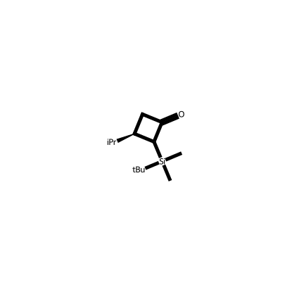 CC(C)[C@H]1CC(=O)C1[Si](C)(C)C(C)(C)C